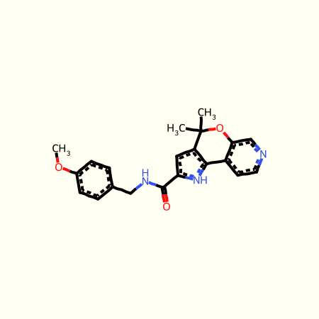 COc1ccc(CNC(=O)c2cc3c([nH]2)-c2ccncc2OC3(C)C)cc1